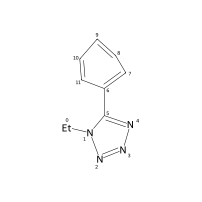 [CH2]Cn1nnnc1-c1ccccc1